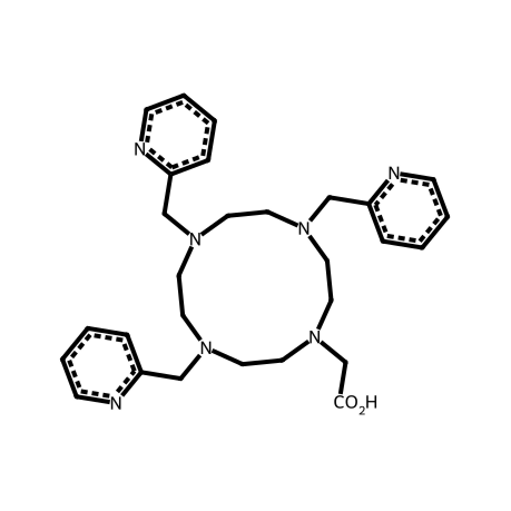 O=C(O)CN1CCN(Cc2ccccn2)CCN(Cc2ccccn2)CCN(Cc2ccccn2)CC1